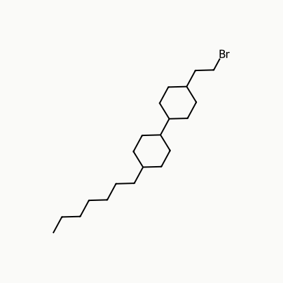 CCCCCCCC1CCC(C2CCC(CCBr)CC2)CC1